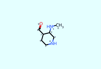 CNC1CNCCC1C=O